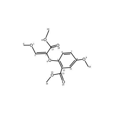 COC=C(Oc1ccc(OC)cc1C(=O)OC)C(=O)OC